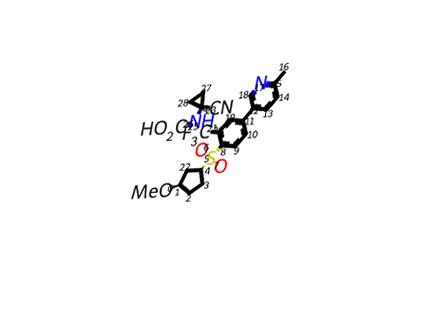 CO[C@@H]1CC[C@@H](S(=O)(=O)c2ccc(-c3ccc(C)nc3)cc2C(F)(F)F)C1.N#CC1(NC(=O)O)CC1